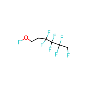 FCC(F)(F)C(F)(F)C(F)(F)CCOF